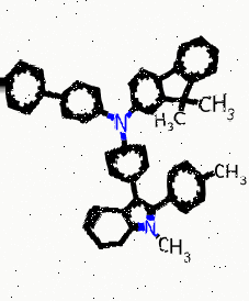 Cc1ccc(-c2c(-c3ccc(N(c4ccc(-c5ccccc5)cc4)c4ccc5c(c4)C(C)(C)c4ccccc4-5)cc3)c3c(n2C)CCC=C3)cc1